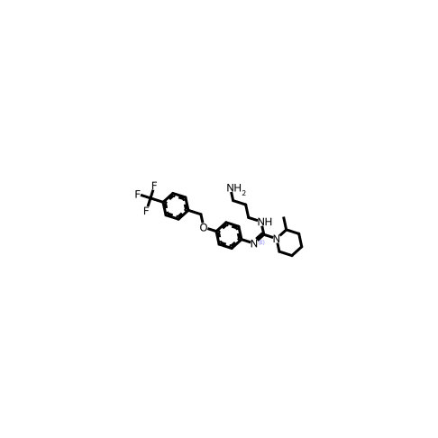 CC1CCCCN1/C(=N/c1ccc(OCc2ccc(C(F)(F)F)cc2)cc1)NCCCN